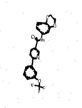 O=C(Nc1ccc2c(c1)OCCO2)c1ccc(-c2cccc(OC(F)(F)F)c2)nc1